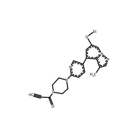 C#CC(=O)N1CCN(c2ccc(-c3cc(OCC)cn4ncc(C)c34)cn2)CC1